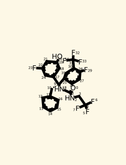 O=C(NCC(F)(F)F)N[C@@](Cc1ccccc1)(c1cc(O)cc(F)c1)c1ccc(F)c(C(F)(F)F)c1